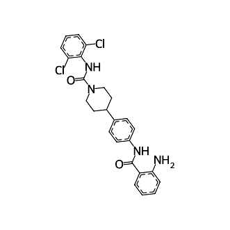 Nc1ccccc1C(=O)Nc1ccc(C2CCN(C(=O)Nc3c(Cl)cccc3Cl)CC2)cc1